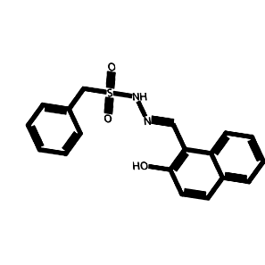 O=S(=O)(Cc1ccccc1)N/N=C/c1c(O)ccc2ccccc12